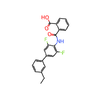 CCc1cccc(-c2cc(F)c(NC(=O)c3ccccc3C(=O)O)c(F)c2)c1